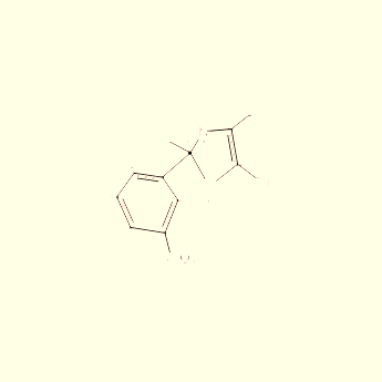 CCC1=C(I)NC(C)(c2cccc(OC)c2)O1